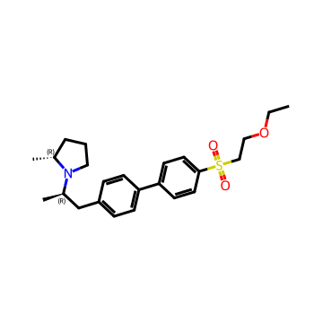 CCOCCS(=O)(=O)c1ccc(-c2ccc(C[C@@H](C)N3CCC[C@H]3C)cc2)cc1